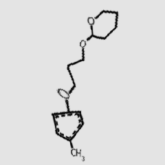 Cc1ccc(OCCCOC2CCCCO2)cc1